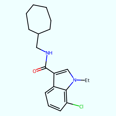 CCn1cc(C(=O)NCC2CCCCCC2)c2cccc(Cl)c21